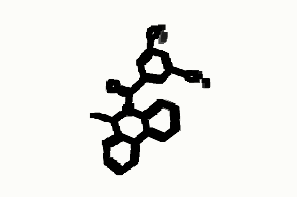 [CH2]C1c2ccccc2-c2ccccc2N1C(=O)c1cc(C(F)(F)F)cc(C(F)(F)F)c1